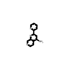 Nc1cc(-c2ccccn2)nc2cnccc12